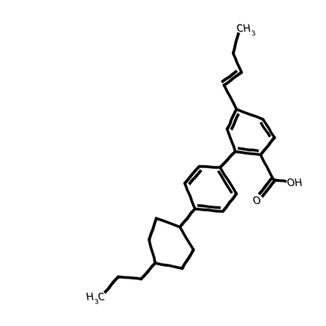 CCC=Cc1ccc(C(=O)O)c(-c2ccc(C3CCC(CCC)CC3)cc2)c1